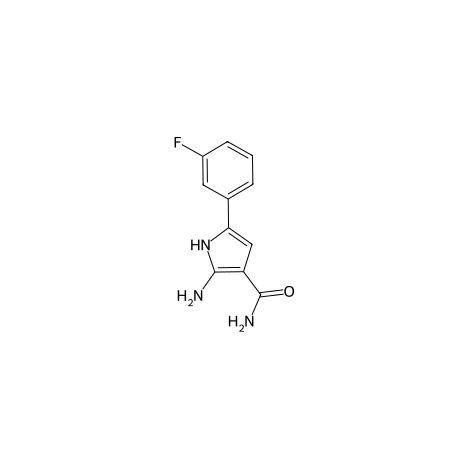 NC(=O)c1cc(-c2cccc(F)c2)[nH]c1N